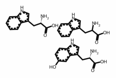 NC(Cc1c[nH]c2ccccc12)C(=O)O.N[C@@H](Cc1c[nH]c2ccc(O)cc12)C(=O)O.N[C@@H](Cc1c[nH]c2ccccc12)C(=O)O